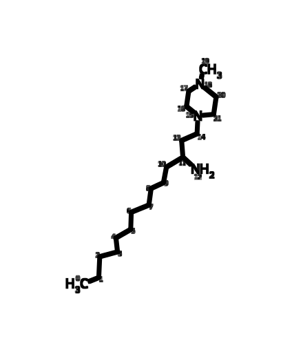 CCCCCCCCCCCC(N)CCN1CCN(C)CC1